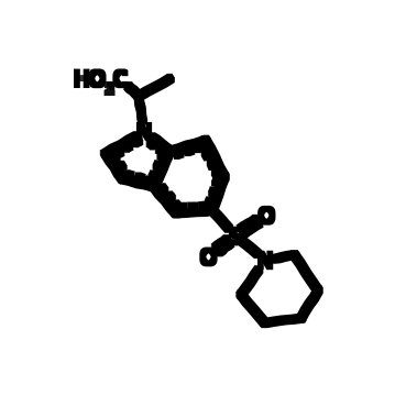 CC(C(=O)O)n1ccc2cc(S(=O)(=O)N3CCCCC3)ccc21